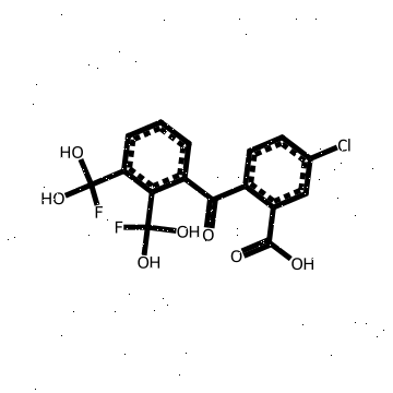 O=C(O)c1cc(Cl)ccc1C(=O)c1cccc(C(O)(O)F)c1C(O)(O)F